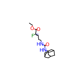 CCOC(=O)/C(F)=C/CCNC(=O)NC12CC3CC(CC(C3)C1)C2